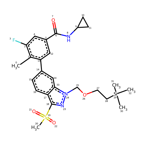 Cc1c(F)cc(C(=O)NC2CC2)cc1-c1ccc2c(S(C)(=O)=O)nn(COCC[Si](C)(C)C)c2c1